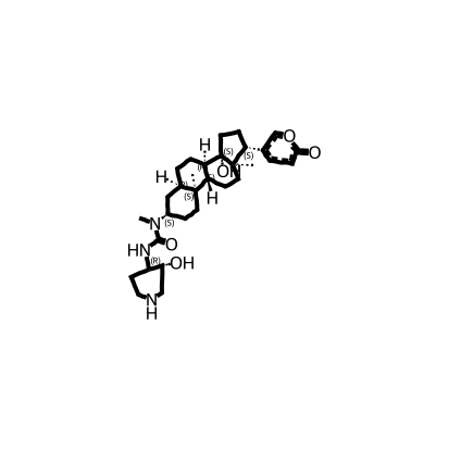 CN(C(=O)NC1CCNC[C@H]1O)[C@H]1CC[C@@]2(C)[C@H](CC[C@@H]3[C@@H]2CC[C@]2(C)[C@@H](c4ccc(=O)oc4)CC[C@]32O)C1